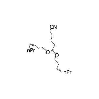 CCC/C=C\CCOC(CCCCC#N)OCC/C=C\CCC